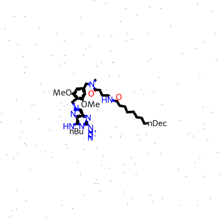 CCCCCCCCCCCCCCCCCC(=O)NCCCC(=O)N(C)Cc1cc(OC)c(Cn2cc3nc(N=[N+]=[N-])nc(NCCCC)c3n2)c(OC)c1